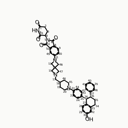 O=C1CCC(N2C(=O)c3ccc(N4CC5(CN(CC6CCN(c7ccc([C@@H]8c9ccc(O)cc9CC[C@@H]8c8ccccc8)cc7)CC6)C5)C4)cc3C2=O)C(=O)N1